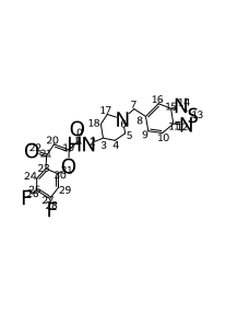 O=C(NC1CCN(Cc2ccc3nsnc3c2)CC1)c1cc(=O)c2cc(F)c(F)cc2o1